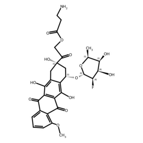 COc1cccc2c1C(=O)c1c(O)c3c(c(O)c1C2=O)C[C@@](O)(C(=O)COC(=O)CCN)C[C@@H]3O[C@@H]1O[C@@H](C)[C@@H](O)[C@@H](O)[C@H]1F